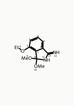 CCOc1cccc2c1C(OC)(OC)NC2=N